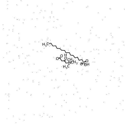 CCCCCCCCCCCCCCCCS(=O)(=O)O.C[N+](C)(C)C[C@H](O)CC(=O)[O-]